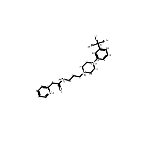 O=C(Cc1ccccn1)NCCCN1CCN(c2cccc(C(F)(F)F)c2)CC1